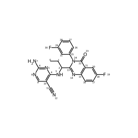 CCC(Nc1nc(N)ncc1C#N)c1nc2ccc(F)cc2c(=O)n1-c1cccc(F)c1